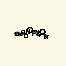 CC(C)(C)OC(=O)N1CCC[C@@](F)(Cn2ccc3c(Br)cccc32)C1